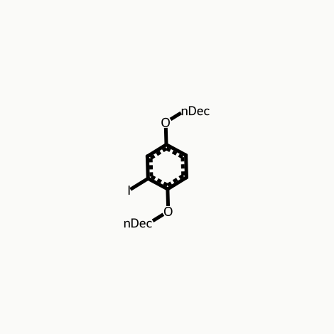 CCCCCCCCCCOc1ccc(OCCCCCCCCCC)c(I)c1